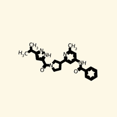 Cc1cc(NC(=O)c2ccccc2)cc(C2CCN(C(=O)c3cc(C(C)C)n[nH]3)C2)n1